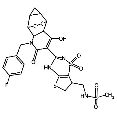 CS(=O)(=O)NCC1CSC2=C1S(=O)(=O)N=C(C1=C(O)C3C4CCC(C5CC54)C3N(Cc3ccc(F)cc3)C1=O)N2